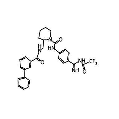 N=C(NC(=O)C(F)(F)F)c1ccc(NC(=O)N2CCCCC2CNC(=O)c2cccc(-c3ccccc3)c2)cc1